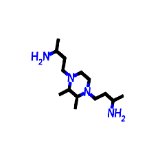 CC(N)CCN1CCN(CCC(C)N)C(C)C1C